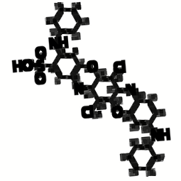 O=S(=O)(O)c1cc2c(cc1Nc1ccccc1)Oc1c(Cl)c3c(c(Cl)c1=N2)Oc1cc(Nc2ccccc2)ccc1N=3